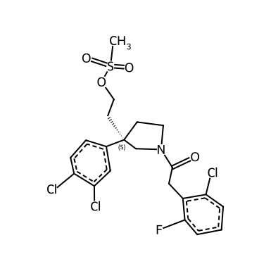 CS(=O)(=O)OCC[C@]1(c2ccc(Cl)c(Cl)c2)CCN(C(=O)Cc2c(F)cccc2Cl)C1